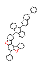 c1ccc(-c2ccc3cc(-c4c5ccccc5c(-c5ccc6oc7cc(-c8ccccc8)c8oc9ccccc9c8c7c6c5)c5ccccc45)ccc3c2)cc1